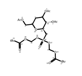 CC(=O)OCC1CC(OC(C)=O)[C@H](OC(C)=O)[C@@H](CP(=O)(OCOC(=O)C(C)(C)C)OCOC(=O)C(C)(C)C)O1